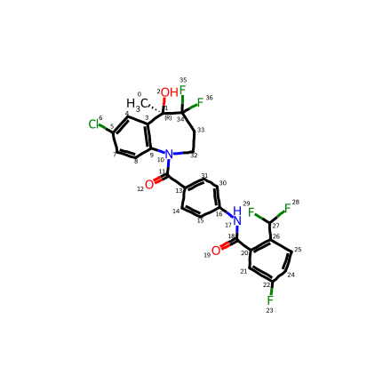 C[C@@]1(O)c2cc(Cl)ccc2N(C(=O)c2ccc(NC(=O)c3cc(F)ccc3C(F)F)cc2)CCC1(F)F